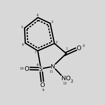 O=C1c2ccccc2S(=O)(=O)N1[N+](=O)[O-]